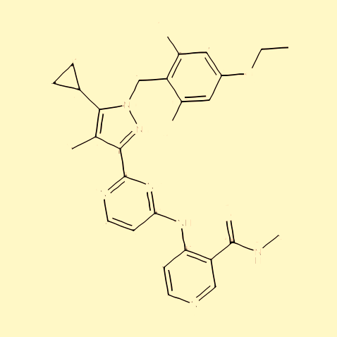 CCOc1cc(F)c(Cn2nc(-c3nccc(Nc4ccncc4C(=O)NC)n3)c(C)c2C2CC2)c(F)c1